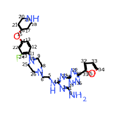 Nc1nc(NCCN2CCN(c3ccc(OC4CCNCC4)cc3F)CC2)nc2nc(-c3ccco3)nn12